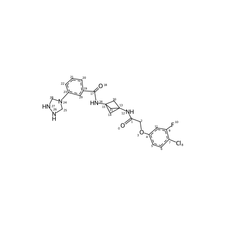 O=C(COc1ccc(Cl)c(F)c1)NC12CC(NC(=O)c3cccc(N4CNNC4)c3)(C1)C2